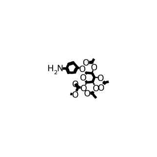 COC(=O)O[C@H]1O[C@@H](Oc2ccc(N)cc2)[C@@H](OC(C)=O)[C@@H](OC(C)=O)[C@H]1OC(C)=O